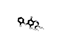 CCN(C)/C=N\c1cc(C)c(Oc2ccccc2Cl)cc1Br